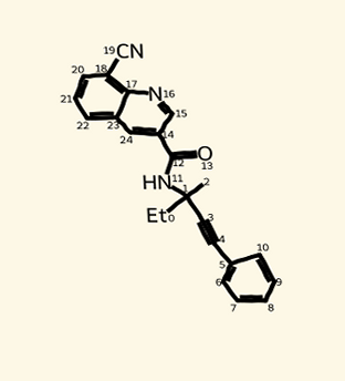 CCC(C)(C#Cc1ccccc1)NC(=O)c1cnc2c(C#N)cccc2c1